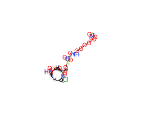 C/C1=C\C=C\[C@@H](C)[C@@]2(O)CC(OC(=O)N2)[C@@H](C)[C@@H]2O[C@@]2(C)[C@@H](CC(=O)[C@H](C)OCCSC2CC(=O)N(CCC(=O)NCCOCCOCCOCCOCCC(=O)ON3C(=O)CCC3=O)C2=O)CC(=O)N(C)c2cc(cc(C)c2Cl)C1